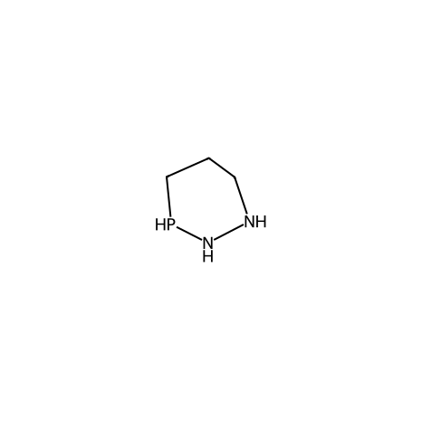 C1CNNPC1